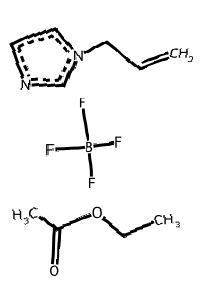 C=CCn1ccnc1.CCOC(C)=O.F[B-](F)(F)F